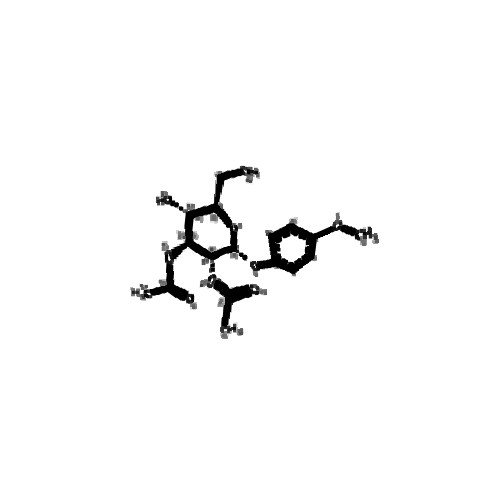 COc1ccc(O[C@H]2O[C@H](CO)[C@@H](O)[C@H](OC(C)=O)[C@H]2OC(C)=O)cc1